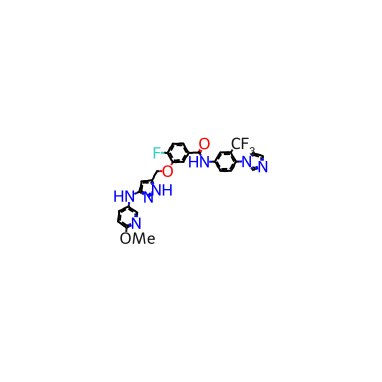 COc1ccc(Nc2cc(COc3cc(C(=O)Nc4ccc(-n5ccnc5)c(C(F)(F)F)c4)ccc3F)[nH]n2)cn1